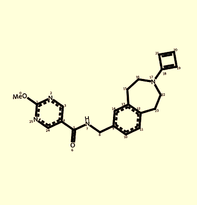 COc1ncc(C(=O)NCc2ccc3c(c2)CCN(C2=CC=C2)CC3)cn1